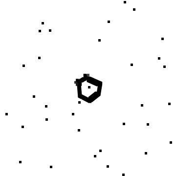 C1=CC[N]N=C1